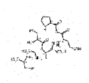 CC(C)C[C@H](N)C(=O)O[C@H](C)[C@H](N)C(=O)O.CSCC[C@H](N)C(=O)OC(=O)[C@@H]1CCCN1.NCC(=O)O.N[C@@H](CS)C(=O)O